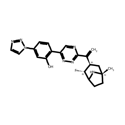 C=C(c1ncc(-c2ccc(-n3ccnn3)cc2O)nn1)[C@H]1C[C@]2(C)CCC(N2)[C@@H]1F